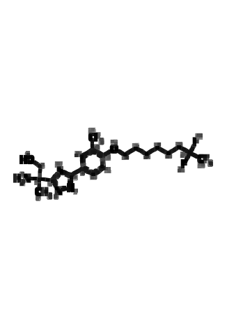 CC(N)(CO)c1nnc(-c2ccc(OCCCCCCC(F)(F)C(F)(F)F)c(C(F)(F)F)c2)s1